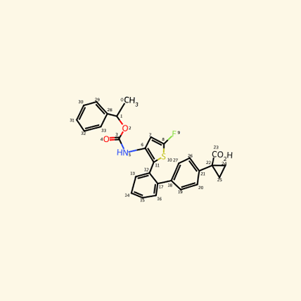 CC(OC(=O)Nc1cc(F)sc1-c1ccccc1-c1ccc(C2(C(=O)O)CC2)cc1)c1ccccc1